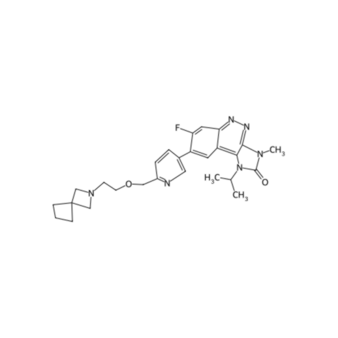 CC(C)n1c(=O)n(C)c2nnc3cc(F)c(-c4ccc(COCCN5CC6(CCC6)C5)nc4)cc3c21